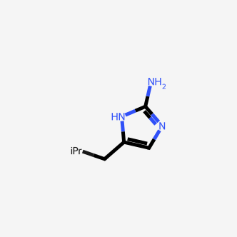 CC(C)Cc1cnc(N)[nH]1